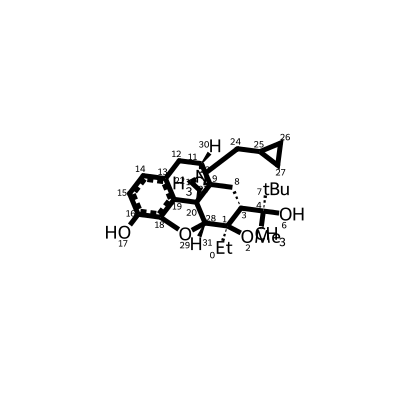 CC[C@@]1(OC)[C@@H]([C@](C)(O)C(C)(C)C)C[C@]2(C)[C@H]3Cc4ccc(O)c5c4[C@@]2(CCN3CC2CC2)[C@H]1O5